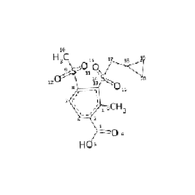 Cc1c(C(=O)O)ccc(S(C)(=O)=O)c1S(=O)(=O)CC1CC1